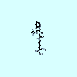 CN(CC(=O)NCCCCC(N)B(O)O)C(=O)[C@@H](Cc1ccccc1)NS(C)(=O)=O